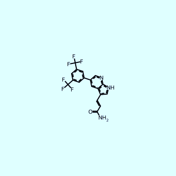 NC(=O)C=Cc1c[nH]c2ncc(-c3cc(C(F)(F)F)cc(C(F)(F)F)c3)cc12